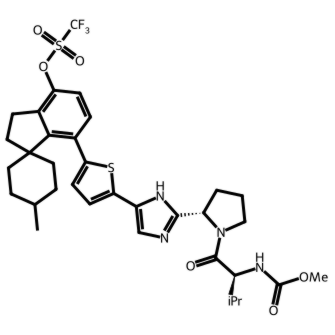 COC(=O)N[C@H](C(=O)N1CCC[C@H]1c1ncc(-c2ccc(-c3ccc(OS(=O)(=O)C(F)(F)F)c4c3C3(CC4)CCC(C)CC3)s2)[nH]1)C(C)C